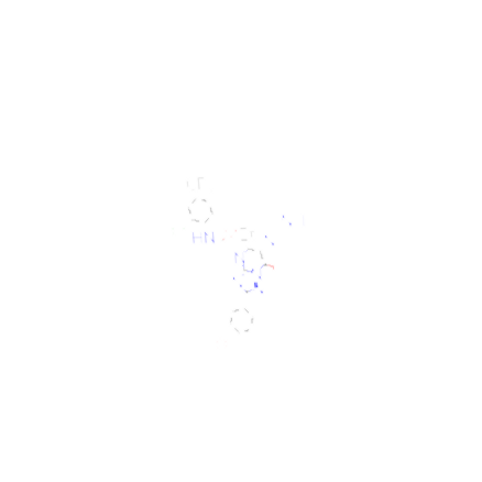 CCc1c(N2CCNCC2)c(=O)n2nc(-c3ccc4c(c3)COC4)nc2n1CC(=O)Nc1ccc(C(F)(F)F)cc1Cl